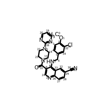 COc1ccc(CNc2c(C(=O)N3CCN(c4ncccn4)CC3)cnc3ccc(C#N)cc23)cc1Cl